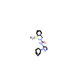 CSc1ccccc1CNC(=O)Nc1ccnn1-c1ccccc1